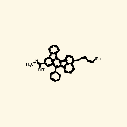 CCC/C(=N\C)c1cc2c(C3=CC=CCC3)c3c4cccc5c(C/C=C\C=C/C(C)CC)ccc(c54)c3c3c4ccccc4c(c1)c23